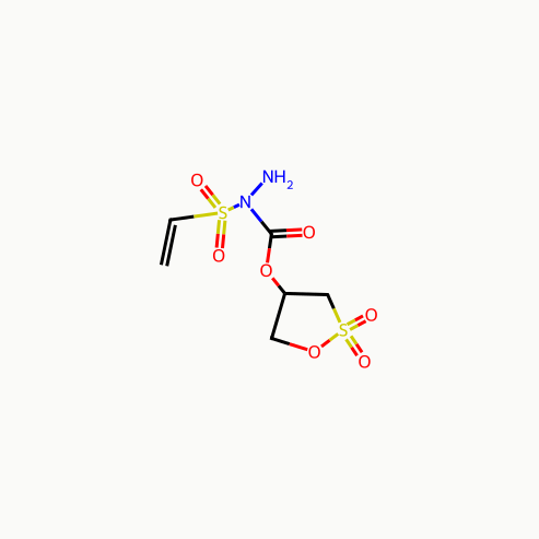 C=CS(=O)(=O)N(N)C(=O)OC1COS(=O)(=O)C1